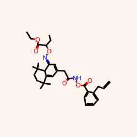 C=CCc1ccccc1C(=O)ONC(=O)CC1=CC(=NOC(CC)C(=O)OCC)C2C(=C1)C(C)(C)CCC2(C)C